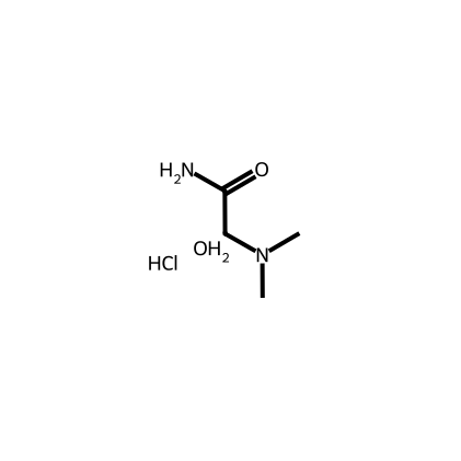 CN(C)CC(N)=O.Cl.O